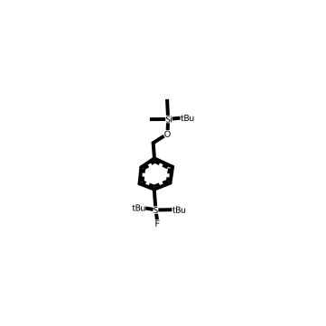 CC(C)(C)[Si](C)(C)OCc1ccc(S(F)(C(C)(C)C)C(C)(C)C)cc1